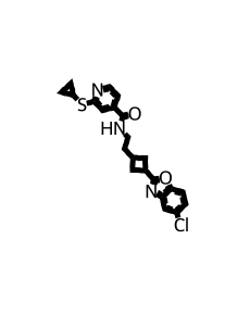 O=C(NCCC1CC(c2nc3cc(Cl)ccc3o2)C1)c1ccnc(SC2CC2)c1